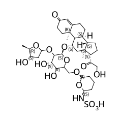 C[C@H]1OC(OC2[C@@H](O[C@H]3C[C@]4(C)[C@@H](C(=O)CO)CC[C@H]4[C@@H]4CCC5=CC(=O)CC[C@]5(C)C34)OC(CO[C@H]3CCC[C@@H](NS(=O)(=O)O)O3)[C@H](O)[C@@H]2O)C[C@@H]1O